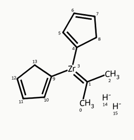 C[C](C)=[Zr]([C]1=CC=CC1)[C]1=CC=CC1.[H-].[H-]